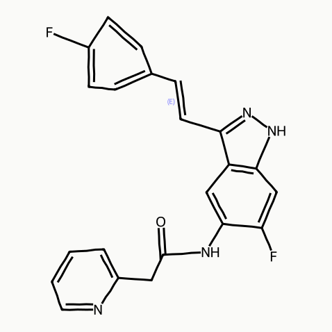 O=C(Cc1ccccn1)Nc1cc2c(/C=C/c3ccc(F)cc3)n[nH]c2cc1F